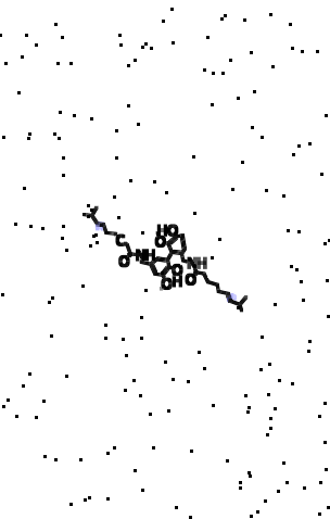 COc1cc(CNC(=O)CCCC/C=C/C(C)C)cc(-c2c(CNC(=O)CCCC/C=C/C(C)C)ccc(O)c2OC)c1O